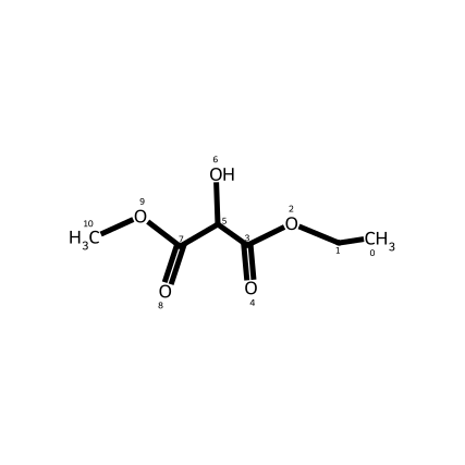 CCOC(=O)C(O)C(=O)OC